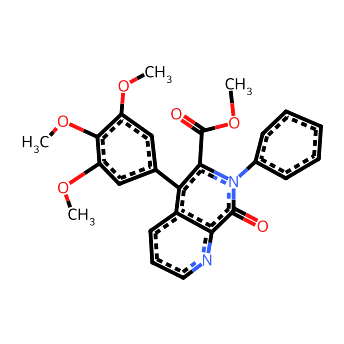 COC(=O)c1c(-c2cc(OC)c(OC)c(OC)c2)c2cccnc2c(=O)n1-c1ccccc1